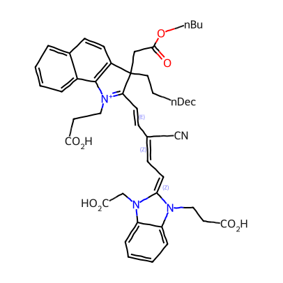 CCCCCCCCCCCCC1(CC(=O)OCCCC)C(/C=C/C(C#N)=C/C=C2/N(CCC(=O)O)c3ccccc3N2CC(=O)O)=[N+](CCC(=O)O)c2c1ccc1ccccc21